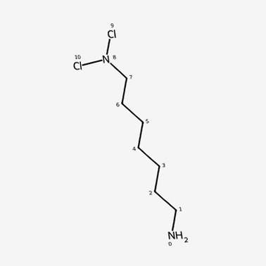 NCCCCCCCN(Cl)Cl